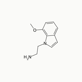 COc1cccc2ccn(CCN)c12